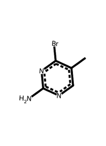 Cc1cnc(N)nc1Br